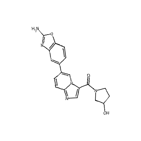 Nc1nc2cc(-c3ccc4ncc(C(=O)N5CCC(O)C5)n4c3)ccc2o1